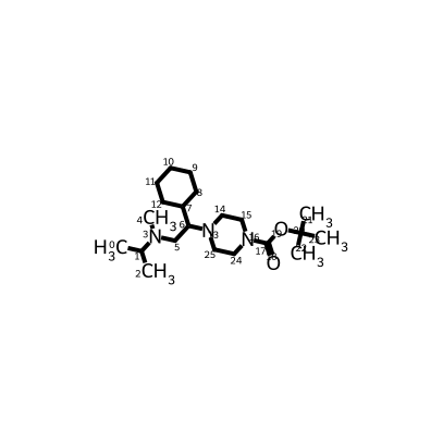 CC(C)N(C)CC(C1CCCCC1)N1CCN(C(=O)OC(C)(C)C)CC1